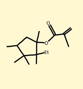 C=C(C)C(=O)OC1(C)CC(C)C(C)(C)C1(C)CC